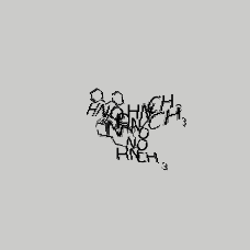 CNC(=O)N1CCC2CC[C@@H](C(=O)NC(c3ccccc3)c3ccccc3)N2C(=O)[C@@H](NC(=O)C(C)NC)C1